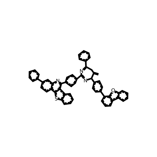 C=C1CC(c2ccccc2)=NC(c2ccc(-c3nc4cc(-c5ccccc5)ccc4c4sc5ccccc5c34)cc2)=NC1c1ccc(-c2cccc3c2oc2ccccc23)cc1